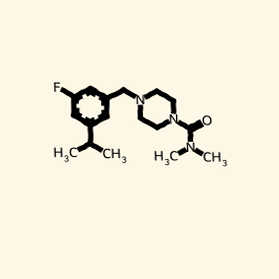 CC(C)c1cc(F)cc(CN2CCN(C(=O)N(C)C)CC2)c1